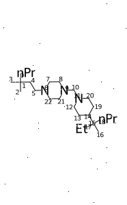 CCCC(C)(C)CCN1CCN(CN2CCC(C(C)(CC)CCC)CC2)CC1